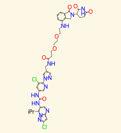 CC(C)c1c(NC(=O)Nc2cnc(-n3cc(CNC(=O)CCOCCOCCNc4cccc5c4CN(C4CCC(=O)NC4=O)C5=O)cn3)c(Cl)c2)cnc2cc(Cl)nn12